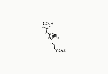 CCCCCCCCCCCCCCCCCC(=O)O.N.[SeH2]